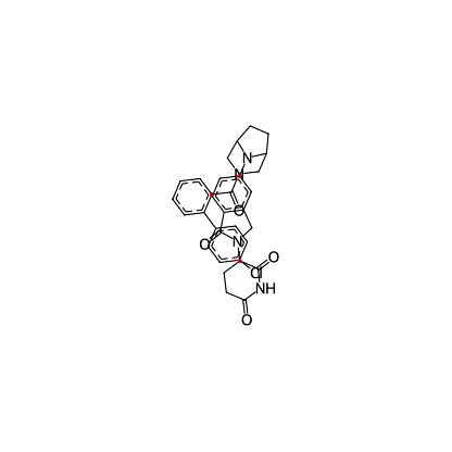 O=C1CCC(N2Cc3cc(N4C5CCC4CN(C(=O)c4ccccc4-c4ccc(Cl)cc4)C5)ccc3C2=O)C(=O)N1